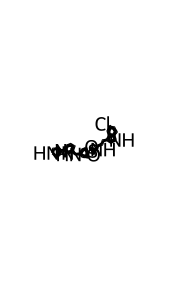 O=S(=O)(NCCCc1c[nH]c2ccc(Cl)cc12)c1ccc(Nc2cccc(N3CCNCC3)n2)cc1